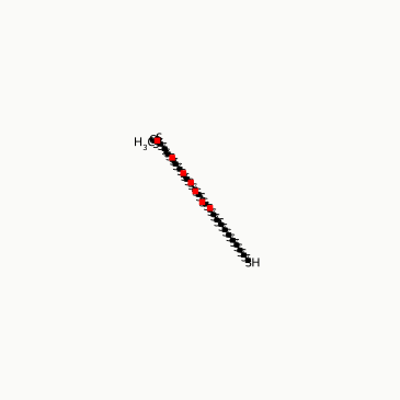 COS(=S)(=S)SSSSSSSSSSSSSSSSSSSSSSSSSSSSSSSSSSSSSSSSSSSSSSSS